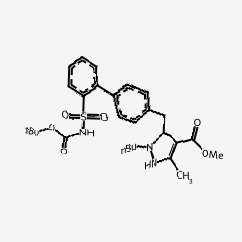 CCCCN1NC(C)=C(C(=O)OC)C1Cc1ccc(-c2ccccc2S(=O)(=O)NC(=O)OC(C)(C)C)cc1